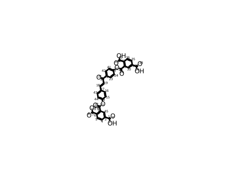 O=C(O)c1ccc(C(=O)O)c(C(=O)Oc2ccc(C=CC(=O)c3ccc(OC(=O)c4cc(C(=O)O)ccc4C(=O)O)cc3)cc2)c1